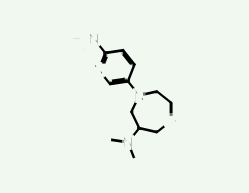 CN(C)C1COCCN(c2ccc(N)nc2)C1